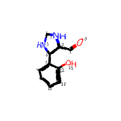 O=CC1NCNC1c1ccccc1O